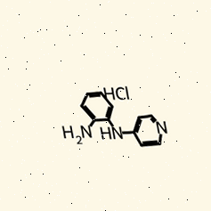 Cl.Nc1ccccc1Nc1ccncc1